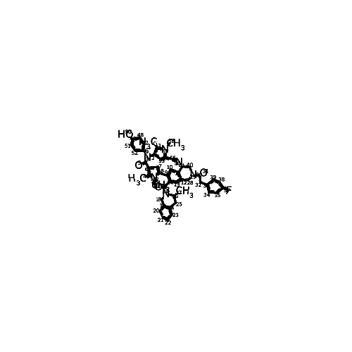 Cc1c(N(C(=O)c2cc(-c3cc4c(cc3C(=O)N3Cc5ccccc5C[C@H]3C)CN(C(=O)Cc3ccc(F)cc3)CC4)n(C)c2C)c2ccc(O)cc2)cc(C#N)n1C